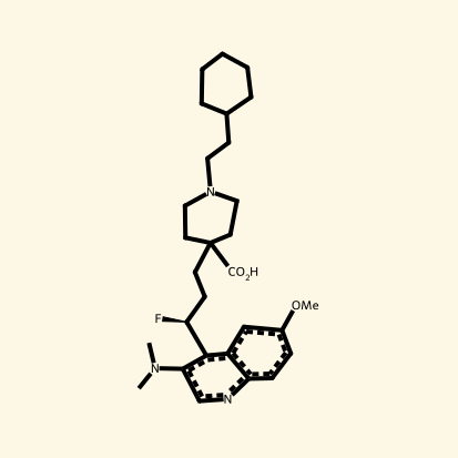 COc1ccc2ncc(N(C)C)c([C@@H](F)CCC3(C(=O)O)CCN(CCC4CCCCC4)CC3)c2c1